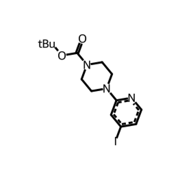 CC(C)(C)OC(=O)N1CCN(c2cc(I)ccn2)CC1